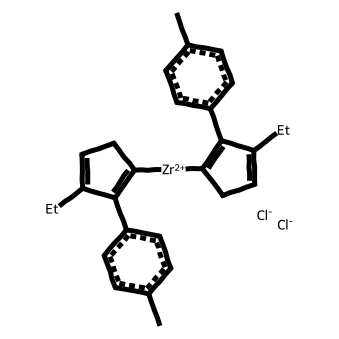 CCC1=CC[C]([Zr+2][C]2=C(c3ccc(C)cc3)C(CC)=CC2)=C1c1ccc(C)cc1.[Cl-].[Cl-]